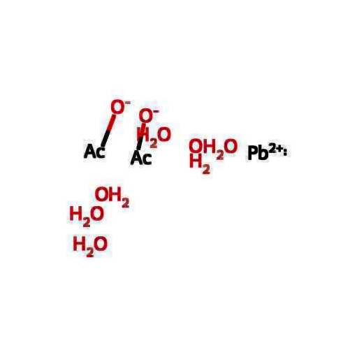 CC(=O)[O-].CC(=O)[O-].O.O.O.O.O.O.[Pb+2]